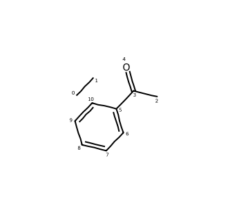 CC.CC(=O)c1ccccc1